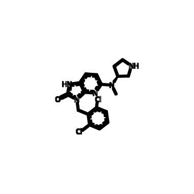 CN(c1ccc2[nH]c(=O)n(Cc3c(Cl)cccc3Cl)c2n1)[C@H]1CCNC1